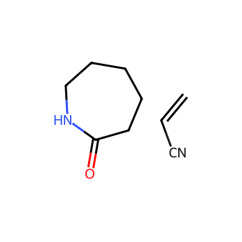 C=CC#N.O=C1CCCCCN1